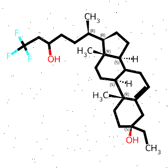 CC[C@]1(O)CC[C@@]2(C)C(=CCC3[C@@H]4CC[C@H]([C@H](C)CCC(O)CC(F)(F)F)[C@@]4(C)CC[C@@H]32)C1